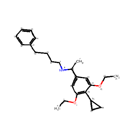 CCOc1cc(C(C)NCCCCc2ccccc2)cc(OCC)c1C1CC1